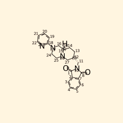 O=C1c2ccccc2C(=O)N1C[C@H]1CC[C@H]2CN(c3ccccn3)CCN2C1